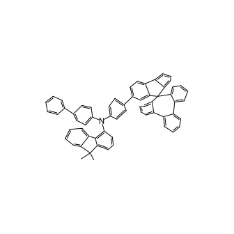 CC1(C)c2ccccc2-c2c(N(c3ccc(-c4ccccc4)cc3)c3ccc(-c4ccc5c(c4)C4(c6ccccc6-c6ccccc6-c6ccccc64)c4ccccc4-5)cc3)cccc21